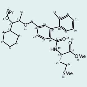 CCCOC(C1CCCCC1)C(C)OCc1ccc(C(=O)N[C@@H](CCSC)C(=O)OC)c(-c2ccccc2C)c1